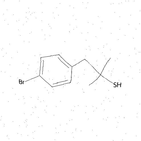 CC(C)(S)Cc1ccc(Br)cc1